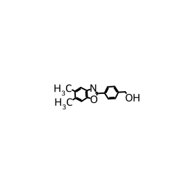 Cc1cc2nc(-c3ccc(CO)cc3)oc2cc1C